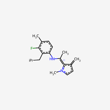 C=c1ccn(C)/c1=C(/C)Nc1ccc(C)c(F)c1CC(C)C